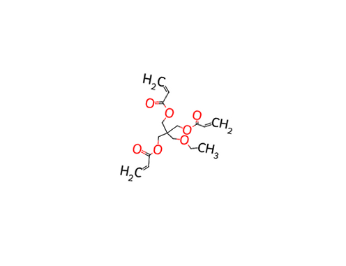 C=CC(=O)OCC(COCC)(COC(=O)C=C)COC(=O)C=C